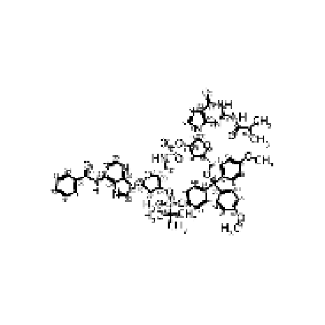 COc1ccc(C(OC[C@@H]2C[C@@H](OS(=O)(=O)NC[C@H]3O[C@@H](n4cnc5c(NC(=O)c6ccccc6)ncnc54)C[C@@H]3O[Si](C)(C)C(C)(C)C)[C@H](n3cnc4c(=O)[nH]c(NC(=O)C(C)C)nc43)O2)(c2ccccc2)c2ccc(OC)cc2)cc1